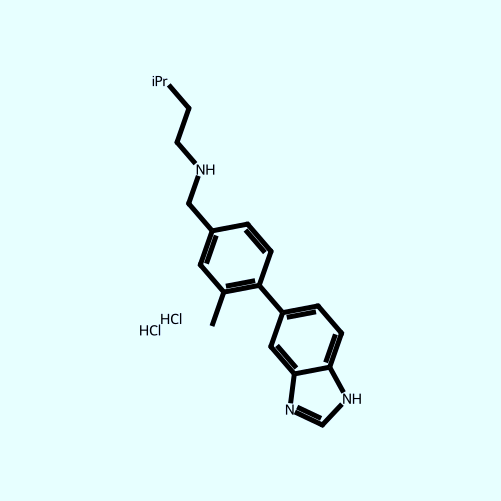 Cc1cc(CNCCC(C)C)ccc1-c1ccc2[nH]cnc2c1.Cl.Cl